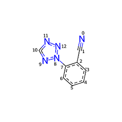 N#Cc1[c]cccc1-n1ncnn1